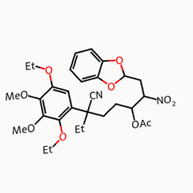 CCOc1cc(C(C#N)(CC)CCC(OC(C)=O)C(CC2Oc3ccccc3O2)[N+](=O)[O-])c(OCC)c(OC)c1OC